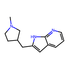 CN1CCC(Cc2cc3cccnc3[nH]2)C1